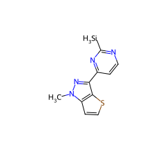 Cn1nc(-c2ccnc([SiH3])n2)c2sccc21